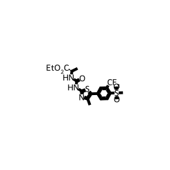 CCOC(=O)[C@H](C)NC(=O)Nc1nc(C)c(-c2ccc(S(C)(=O)=O)c(C(F)(F)F)c2)s1